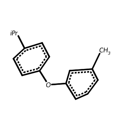 Cc1cccc(Oc2ccc(C(C)C)cc2)c1